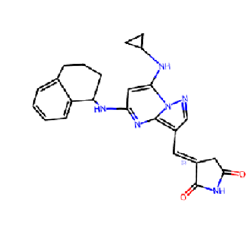 O=C1C/C(=C\c2cnn3c(NC4CC4)cc(NC4CCCc5ccccc54)nc23)C(=O)N1